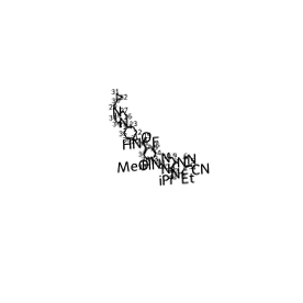 CC[C@@H]1c2c(C#N)ncn2-c2cnc(Nc3cc(F)c(C(=O)NC4CCC(N5CCN(CC6CC6)CC5)CC4)cc3OC)nc2N1C(C)C